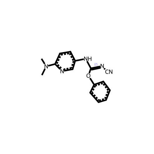 CN(C)c1ccc(N/C(=N/C#N)Oc2ccccc2)cn1